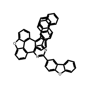 c1ccc2cc(-c3nc(-c4ccc5oc6ccccc6c5c4)nc(-c4cccc5oc6cccc(-c7cccc8oc9c%10ccccc%10ccc9c78)c6c45)n3)ccc2c1